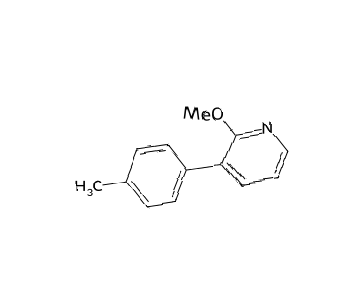 COc1ncccc1-c1ccc(C)cc1